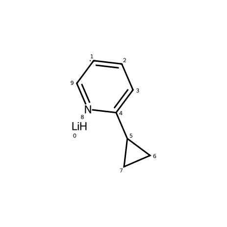 [LiH].[c]1ccc(C2CC2)nc1